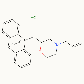 C=CCN1CCOC(CC23CCC(c4ccccc42)c2ccccc23)C1.Cl